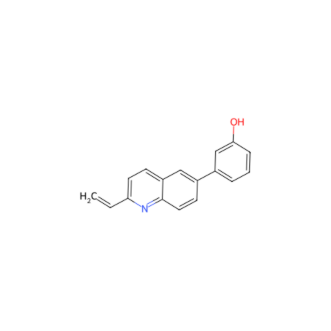 C=Cc1ccc2cc(-c3cccc(O)c3)ccc2n1